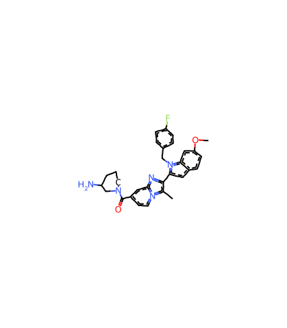 COc1ccc2cc(-c3nc4cc(C(=O)N5CCCC(N)C5)ccn4c3C)n(Cc3ccc(F)cc3)c2c1